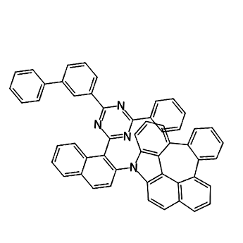 c1ccc(-c2cccc(-c3nc(-c4ccccc4)nc(-c4c(-n5c6cccc7c6c6c8c(cccc8ccc65)-c5ccccc5-7)ccc5ccccc45)n3)c2)cc1